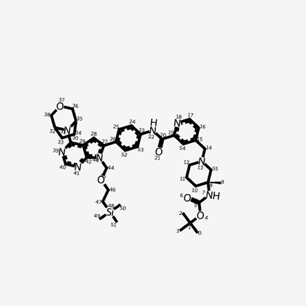 CC(C)(C)OC(=O)N[C@]1(C)CCCN(Cc2ccnc(C(=O)Nc3ccc(-c4cc5c(N6C7CCC6COC7)ncnc5n4COCC[Si](C)(C)C)cc3)c2)C1